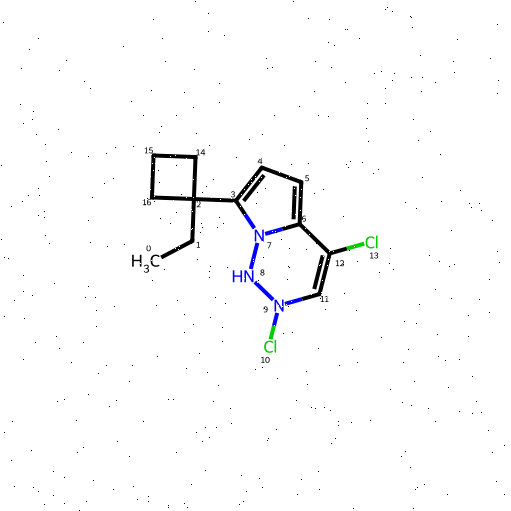 CCC1(c2ccc3n2NN(Cl)C=C3Cl)CCC1